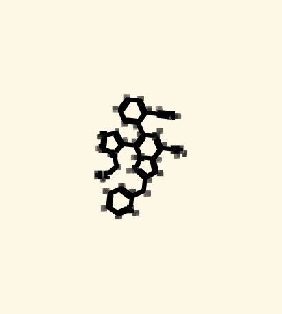 CCn1nncc1-c1c(-c2ccccc2C#N)nc(N)c2cc(Cc3ccccn3)nn12